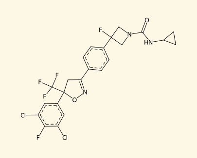 O=C(NC1CC1)N1CC(F)(c2ccc(C3=NOC(c4cc(Cl)c(F)c(Cl)c4)(C(F)(F)F)C3)cc2)C1